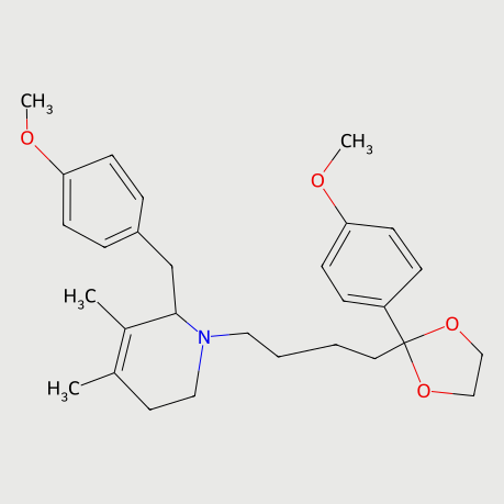 COc1ccc(CC2C(C)=C(C)CCN2CCCCC2(c3ccc(OC)cc3)OCCO2)cc1